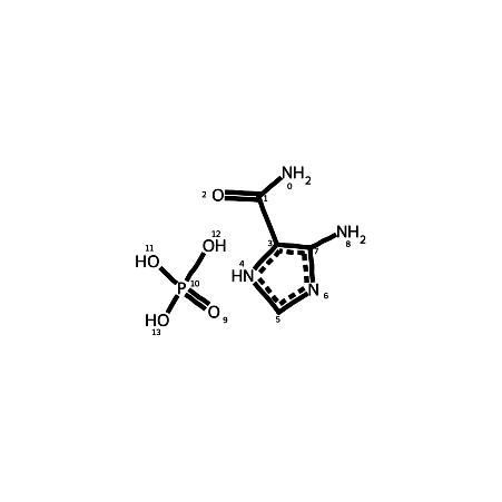 NC(=O)c1[nH]cnc1N.O=P(O)(O)O